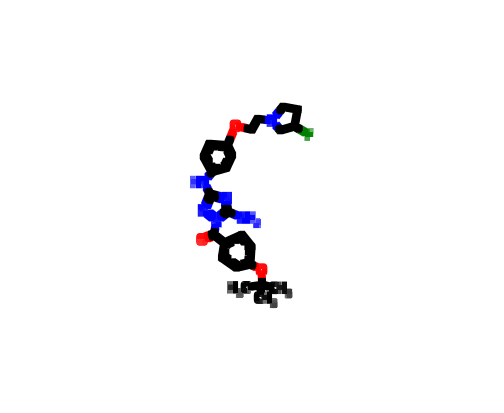 CC(C)(C)Oc1ccc(C(=O)n2nc(Nc3ccc(OCCN4CCC(F)C4)cc3)nc2N)cc1